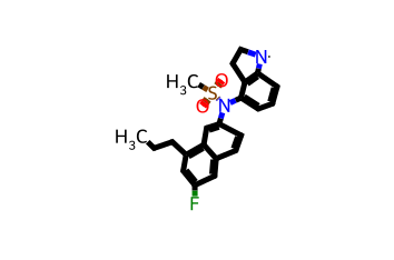 CCCc1cc(F)cc2ccc(N(c3cccc4c3CC[N]4)S(C)(=O)=O)cc12